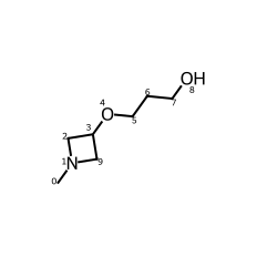 CN1CC(OCCCO)C1